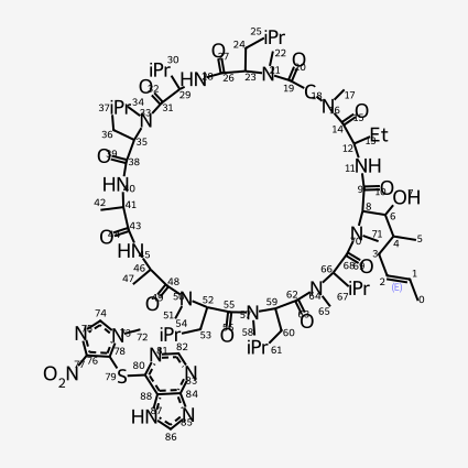 C/C=C/CC(C)C(O)C1C(=O)NC(CC)C(=O)N(C)CC(=O)N(C)C(CC(C)C)C(=O)NC(C(C)C)C(=O)N(C)C(CC(C)C)C(=O)NC(C)C(=O)NC(C)C(=O)N(C)C(CC(C)C)C(=O)N(C)C(CC(C)C)C(=O)N(C)C(C(C)C)C(=O)N1C.Cn1cnc([N+](=O)[O-])c1Sc1ncnc2nc[nH]c12